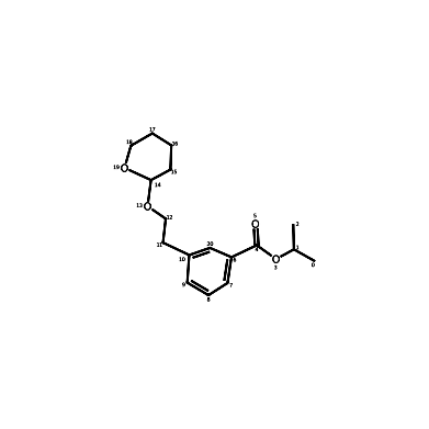 CC(C)OC(=O)c1cccc(CCOC2CCCCO2)c1